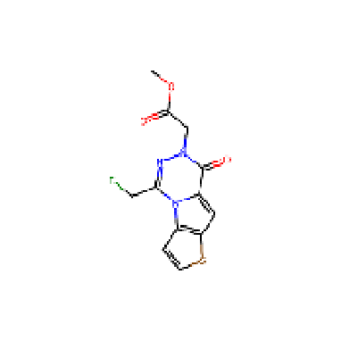 COC(=O)Cn1nc(CF)n2c(cc3sccc32)c1=O